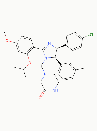 COc1ccc(C2=N[C@@H](c3ccc(Cl)cc3)[C@@H](c3cccc(C)c3)N2CN2CCNC(=O)C2)c(OC(C)C)c1